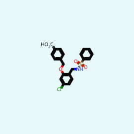 O=C(O)c1ccc(COc2cc(Cl)ccc2CNS(=O)(=O)c2ccccc2)cc1